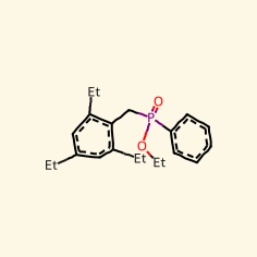 CCOP(=O)(Cc1c(CC)cc(CC)cc1CC)c1ccccc1